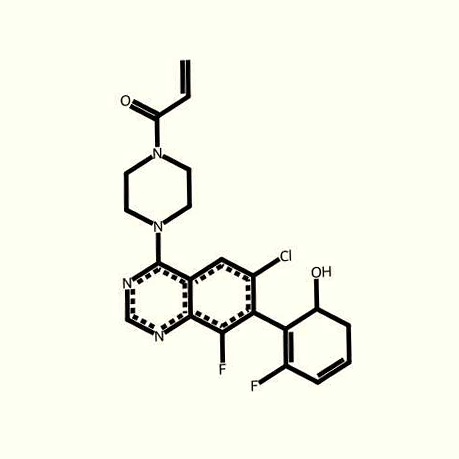 C=CC(=O)N1CCN(c2ncnc3c(F)c(C4=C(F)C=CCC4O)c(Cl)cc23)CC1